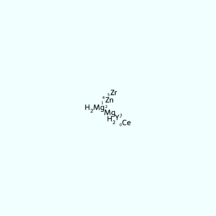 [Ce].[MgH2].[MgH2].[Y].[Zn].[Zr]